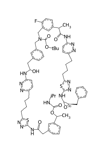 CC(C)NC(=O)OC(C)c1cccc(CC(=O)Nc2nnc(CCCCc3ccc(NC(O)Cc4cccc(CN(Cc5cc(C(C)C(=O)Nc6ccc(CCCCc7nnc(NC8O[C@@H]8Cc8ccccc8)s7)nn6)ccc5F)C(=O)OC(C)(C)C)c4)nn3)s2)c1